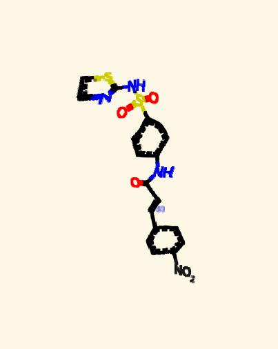 O=C(/C=C/c1ccc([N+](=O)[O-])cc1)Nc1ccc(S(=O)(=O)Nc2nccs2)cc1